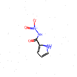 O=C(N[N+](=O)[O-])c1ccc[nH]1